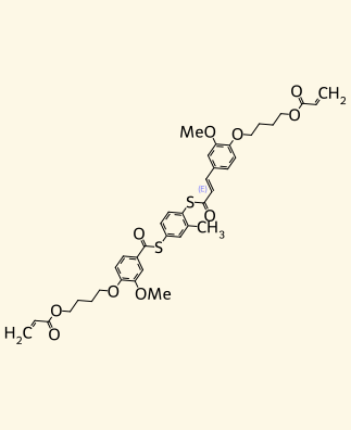 C=CC(=O)OCCCCOc1ccc(/C=C/C(=O)Sc2ccc(SC(=O)c3ccc(OCCCCOC(=O)C=C)c(OC)c3)cc2C)cc1OC